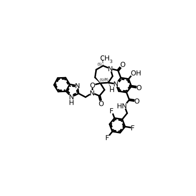 C[C@H]1CC[C@]2(CC(=O)N(Cc3nc4ccccc4[nH]3)O2)[C@H]2CN1C(=O)c1c(O)c(=O)c(C(=O)NCc3c(F)cc(F)cc3F)cn12